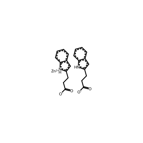 O=C([O-])CCc1cc2ccccc2[nH]1.O=C([O-])CCc1cc2ccccc2[nH]1.[Zn+2]